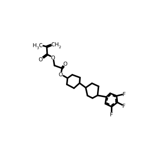 C=C(C)C(=O)OCC(=O)OC1CCC(C2CCC(c3cc(F)c(F)c(F)c3)CC2)CC1